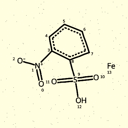 O=[N+]([O-])c1ccccc1S(=O)(=O)O.[Fe]